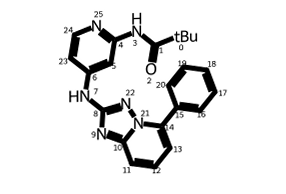 CC(C)(C)C(=O)Nc1cc(Nc2nc3cccc(-c4ccccc4)n3n2)ccn1